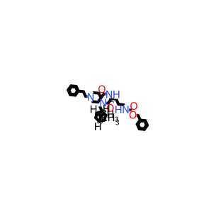 CC1(C)[C@H]2CC[C@H](CN3C(=O)[C@H](CCCNC(=O)OCc4ccccc4)NC(=O)C34CCN(CCc3ccccc3)CC4)[C@H]1C2